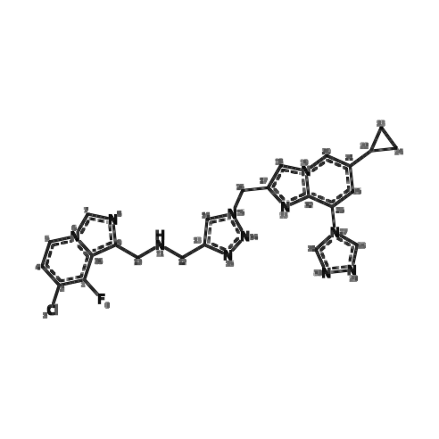 Fc1c(Cl)ccn2cnc(CNCc3cn(Cc4cn5cc(C6CC6)cc(-n6cnnc6)c5n4)nn3)c12